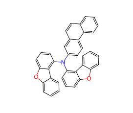 c1ccc2c(c1)ccc1cc(N(c3cccc4oc5ccccc5c34)c3cccc4oc5ccccc5c34)ccc12